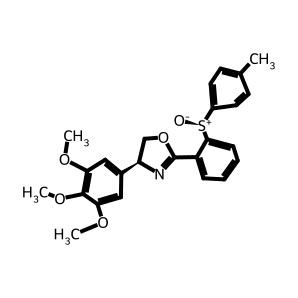 COc1cc([C@H]2COC(c3ccccc3[S@@+]([O-])c3ccc(C)cc3)=N2)cc(OC)c1OC